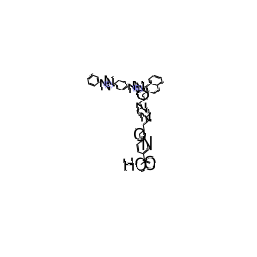 O=C(O)c1ccc(OCCCN2CCN(CCOc3ccc4ccccc4c3/N=N/c3ccc(/N=N/c4ccccc4)cc3)CC2)nc1